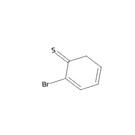 S=C1CC=CC=C1Br